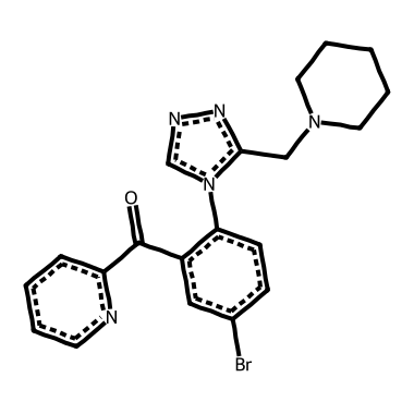 O=C(c1ccccn1)c1cc(Br)ccc1-n1cnnc1CN1CCCCC1